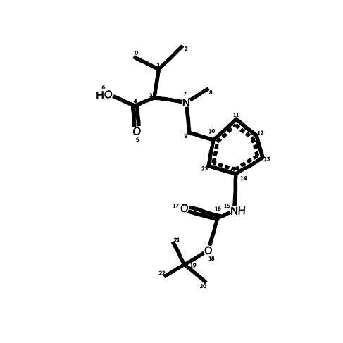 CC(C)C(C(=O)O)N(C)Cc1cccc(NC(=O)OC(C)(C)C)c1